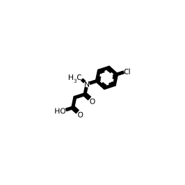 CN(C(=O)CC(=O)O)c1ccc(Cl)cc1